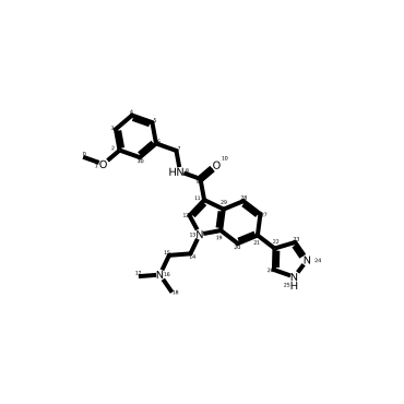 COc1cccc(CNC(=O)c2cn(CCN(C)C)c3cc(-c4cn[nH]c4)ccc23)c1